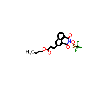 CCCCOC(=O)/C=C/c1cc2c3c(cccc3c1)C(=O)N(OSC(F)(F)F)C2=O